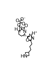 O=C1N2C[C@@H](CC[C@H]2c2nnc(CCCC3CNC3)o2)N1OS(=O)(=O)[O-].[H+]